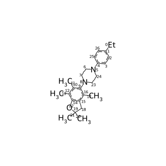 CCc1ccc(N2CCN(c3c(C)c(C)c4c(c3C)CC(C)(C)O4)CC2)cc1